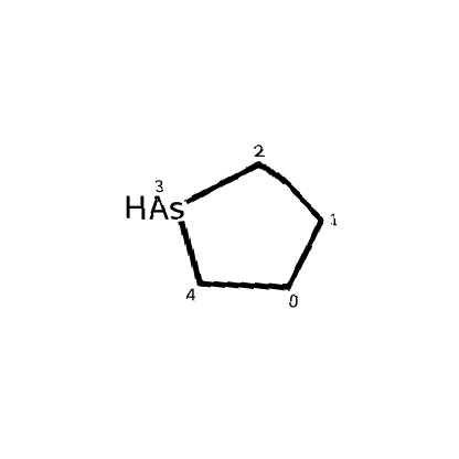 C1CC[AsH]C1